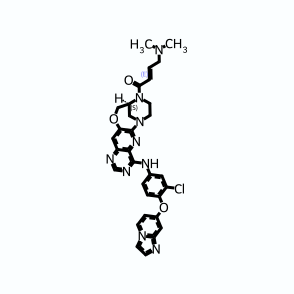 CN(C)C/C=C/C(=O)N1CCN2C[C@H]1COc1cc3ncnc(Nc4ccc(Oc5ccn6ccnc6c5)c(Cl)c4)c3nc12